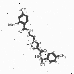 COc1cc(C(F)(F)F)ccc1C(=O)NCCN1C=C(C(=O)NC(C#N)c2ccc(C(F)(F)F)cc2)NN1